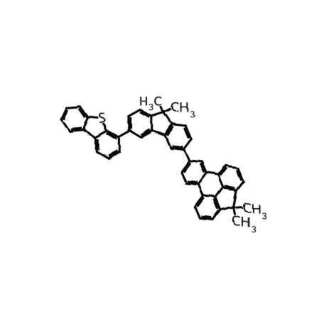 CC1(C)c2ccc(-c3ccc4c(c3)c3cccc5c3c3c(cccc43)C5(C)C)cc2-c2cc(-c3cccc4c3sc3ccccc34)ccc21